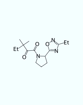 CCc1noc(C2CCCN2C(=O)C(=O)C(C)(C)CC)n1